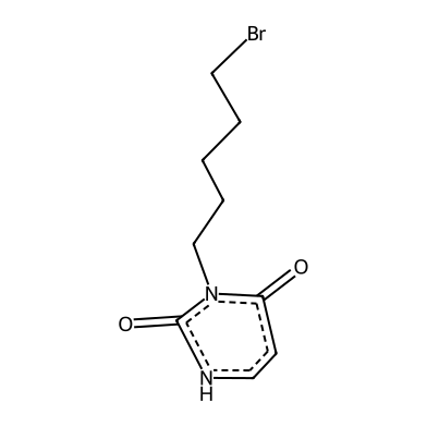 O=c1cc[nH]c(=O)n1CCCCCBr